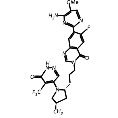 COc1cnc(-c2cc3ncn(CCC[C@@H]4C[C@@H](C)CN4c4cn[nH]c(=O)c4C(F)(F)F)c(=O)c3cc2F)nc1N